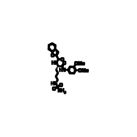 COc1ccc(NC(=O)[C@H](CCCCNS(N)(=O)=O)NC(=O)c2cc3ccccc3o2)cc1OC